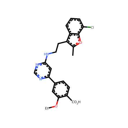 CCOc1cc(-c2cc(NCCc3c(C)oc4c(Cl)cccc34)ncn2)ccc1C(=O)O